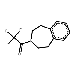 O=C(N1CCc2c[c]ccc2CC1)C(F)(F)F